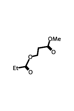 [CH2]CC(=O)OCCC(=O)OC